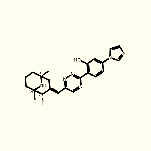 C[C@]12CCC[C@](C)(N1)[C@@H](F)/C(=C/c1cnc(-c3ccc(-n4ccnc4)cc3O)nn1)C2